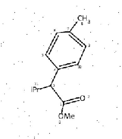 COC(=O)C(c1ccc(C)cc1)C(C)C